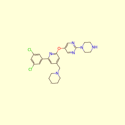 Clc1cc(Cl)cc(-c2cc(CN3CC[CH]CC3)cc(Oc3cnc(N4CCNCC4)nc3)n2)c1